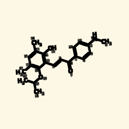 CNc1ccc(C(=O)C=Cc2c(O)c(C)cc(C)c2OC(C)C)cc1